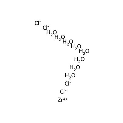 O.O.O.O.O.O.O.O.[Cl-].[Cl-].[Cl-].[Cl-].[Zr+4]